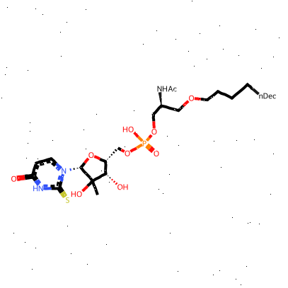 CCCCCCCCCCCCCCOC[C@@H](COP(=O)(O)OC[C@H]1O[C@@H](n2ccc(=O)[nH]c2=S)C(C)(O)[C@H]1O)NC(C)=O